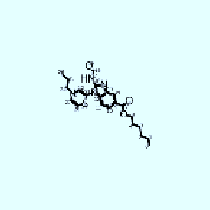 CCCCCCOC(=O)c1ccc2c(c1)nc(NC=O)n2C1=CN(CCC)C=CS1